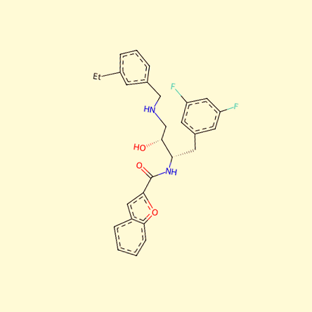 CCc1cccc(CNC[C@@H](O)[C@H](Cc2cc(F)cc(F)c2)NC(=O)c2cc3ccccc3o2)c1